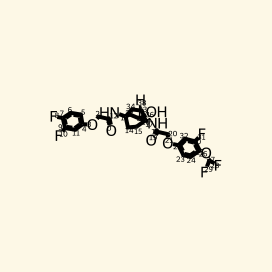 O=C(COc1ccc(F)c(F)c1)NC12CCC(NC(=O)COc3ccc(OC(F)F)c(F)c3)(CC1)[C@@H](O)C2